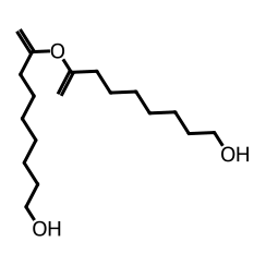 C=C(CCCCCCCO)OC(=C)CCCCCCCO